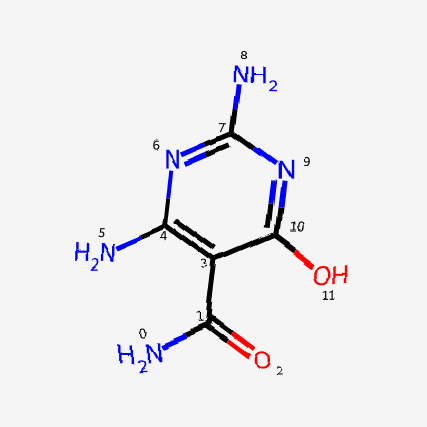 NC(=O)c1c(N)nc(N)nc1O